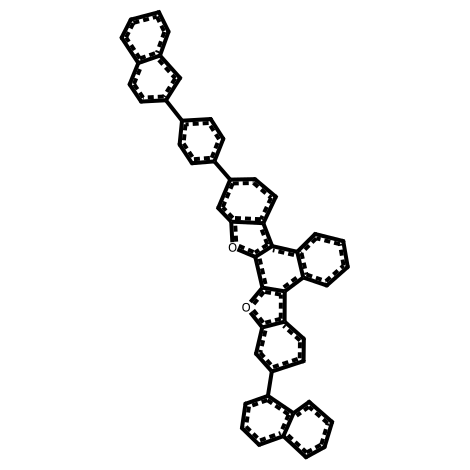 c1ccc2cc(-c3ccc(-c4ccc5c(c4)oc4c6oc7cc(-c8cccc9ccccc89)ccc7c6c6ccccc6c54)cc3)ccc2c1